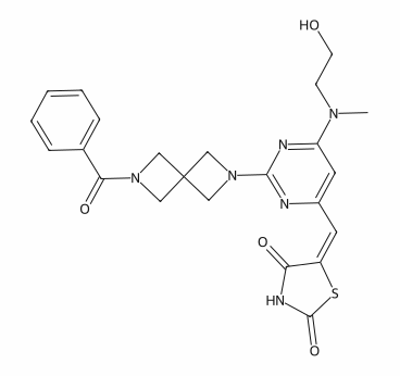 CN(CCO)c1cc(C=C2SC(=O)NC2=O)nc(N2CC3(CN(C(=O)c4ccccc4)C3)C2)n1